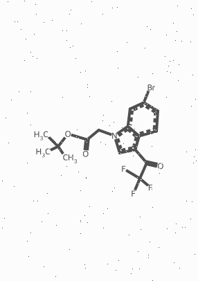 CC(C)(C)OC(=O)Cn1cc(C(=O)C(F)(F)F)c2ccc(Br)cc21